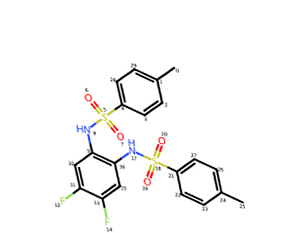 Cc1ccc(S(=O)(=O)Nc2cc(F)c(F)cc2NS(=O)(=O)c2ccc(C)cc2)cc1